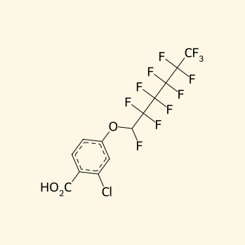 O=C(O)c1ccc(OC(F)C(F)(F)C(F)(F)C(F)(F)C(F)(F)C(F)(F)F)cc1Cl